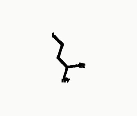 CCCC(CC)CCI